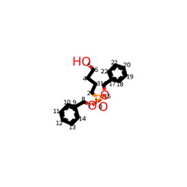 O=P(CCCCO)(OCc1ccccc1)OCc1ccccc1